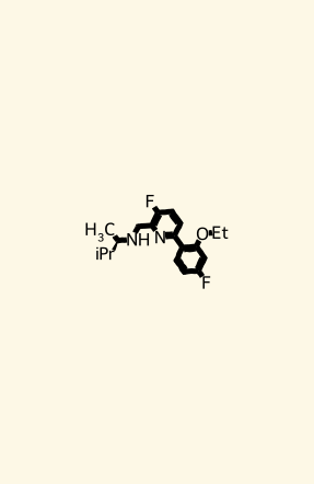 CCOc1cc(F)ccc1-c1ccc(F)c(CN[C@H](C)C(C)C)n1